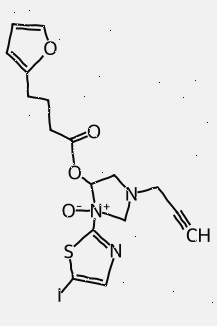 C#CCN1CC(OC(=O)CCCc2ccco2)[N+]([O-])(c2ncc(I)s2)C1